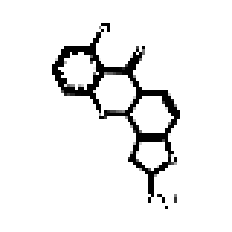 O=C(O)C1CC2=C(C=CC3C(=O)c4c(Cl)cccc4OC23)O1